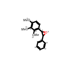 COc1ccc(C2OC2c2ccccc2)c(OC)c1OC